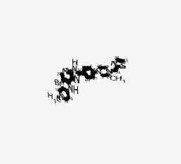 CC1CN(c2ccc(-c3nc4c(NC5CCN(C)CC5)c(Br)cnc4[nH]3)cc2)CCN1Cc1nccs1